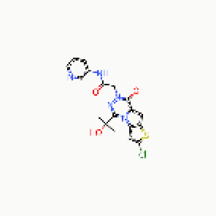 CC(C)(O)c1nn(CC(=O)Nc2cccnc2)c(=O)c2cc3sc(Cl)cc3n12